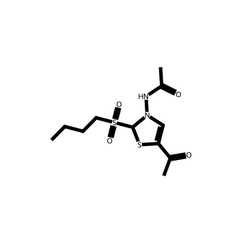 CCCCS(=O)(=O)C1SC(C(C)=O)=CN1NC(C)=O